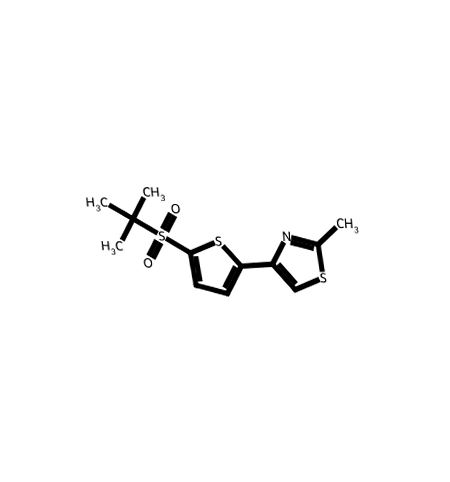 Cc1nc(-c2ccc(S(=O)(=O)C(C)(C)C)s2)cs1